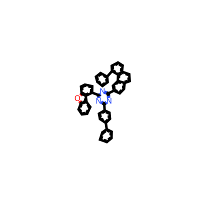 c1ccc(-c2ccc(-c3nc(-c4ccc5ccc6cccc(-c7ccccc7)c6c5c4)nc(-c4cccc5oc6ccccc6c45)n3)cc2)cc1